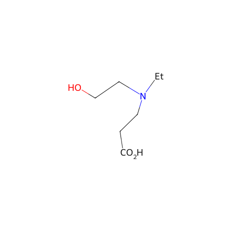 CCN(CCO)CCC(=O)O